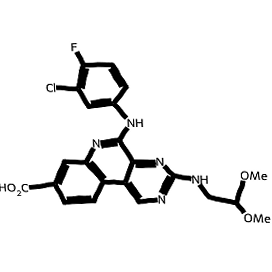 COC(CNc1ncc2c(n1)c(Nc1ccc(F)c(Cl)c1)nc1cc(C(=O)O)ccc12)OC